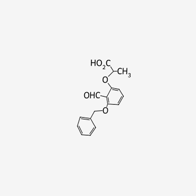 CC(Oc1cccc(OCc2ccccc2)c1C=O)C(=O)O